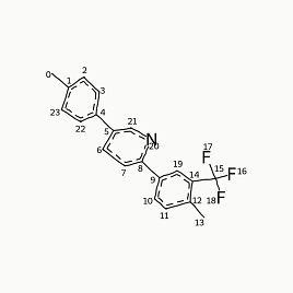 Cc1ccc(-c2ccc(-c3ccc(C)c(C(F)(F)F)c3)nc2)cc1